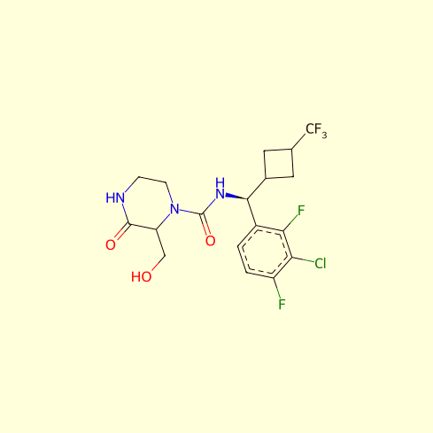 O=C1NCCN(C(=O)N[C@H](c2ccc(F)c(Cl)c2F)C2CC(C(F)(F)F)C2)C1CO